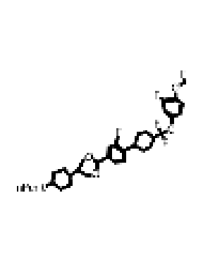 CCCCCC1CCC(C2COC(c3ccc(C4CCC(C(F)(F)Oc5ccc(OCF)c(F)c5)CC4)c(F)c3)OC2)CC1